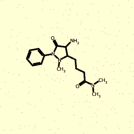 CN(C)C(=O)CCCC1C(N)C(=O)N(c2ccccc2)N1C